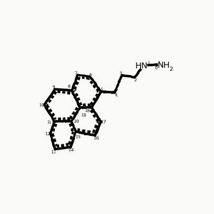 NNCCCc1ccc2ccc3cccc4ccc1c2c34